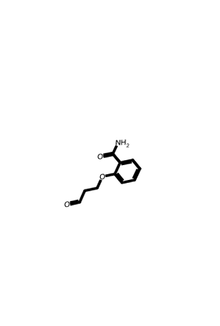 NC(=O)c1ccccc1OCCC=O